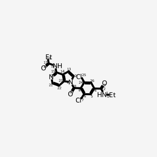 CCNC(=O)c1cc(Cl)c(C(=O)n2ccc3c(NC(=O)CC)nccc32)c(Cl)c1